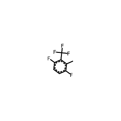 Cc1c(F)ccc(F)c1C(F)(F)F